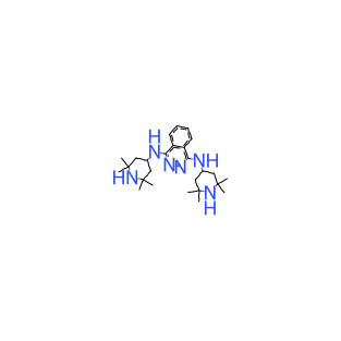 CC1(C)CC(Nc2nnc(NC3CC(C)(C)NC(C)(C)C3)c3ccccc23)CC(C)(C)N1